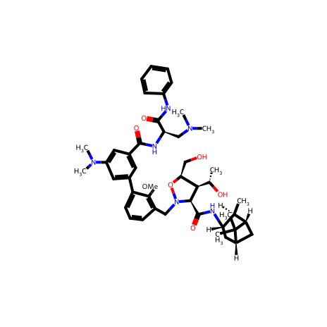 COc1c(CN2O[C@@H](CO)[C@@H]([C@H](C)O)[C@H]2C(=O)N[C@H]2C[C@H]3C[C@@H]([C@@H]2C)C3(C)C)cccc1-c1cc(C(=O)N[C@H](CN(C)C)C(=O)Nc2ccccc2)cc(N(C)C)c1